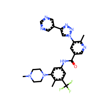 Cc1ncc(C(=O)Nc2cc(N3CCN(C)CC3)c(C)c(C(F)(F)F)c2)cc1-n1cc(-c2cncnc2)nn1